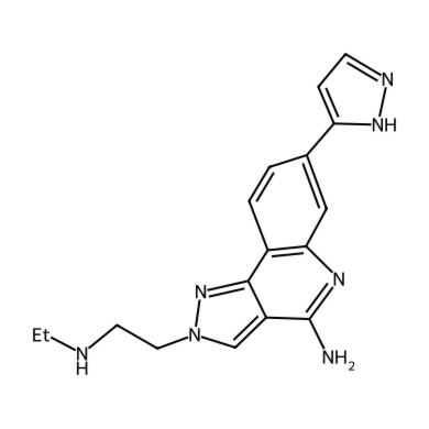 CCNCCn1cc2c(N)nc3cc(-c4ccn[nH]4)ccc3c2n1